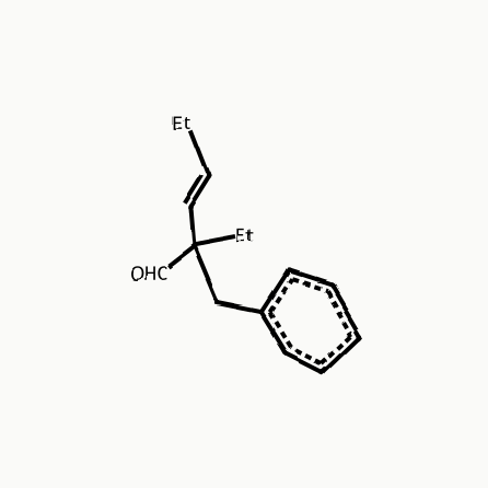 CCC=CC(C=O)(CC)Cc1ccccc1